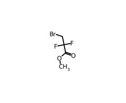 COC(=O)C(F)(F)CBr